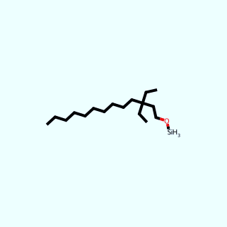 CCCCCCCCCCC(CC)(CC)CCO[SiH3]